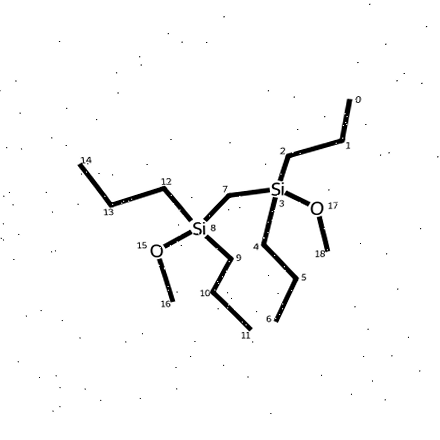 CCC[Si](CCC)(C[Si](CCC)(CCC)OC)OC